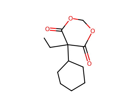 CCC1(C2CCCCC2)C(=O)OCOC1=O